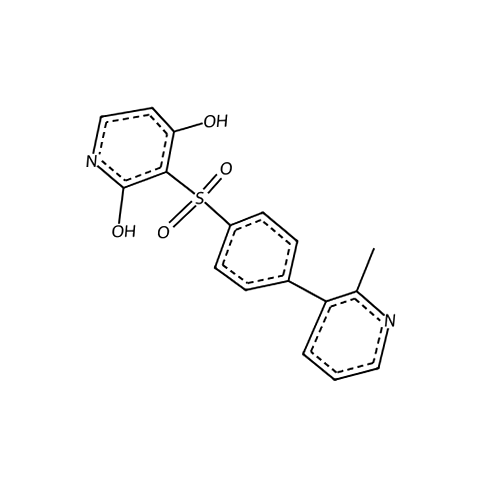 Cc1ncccc1-c1ccc(S(=O)(=O)c2c(O)ccnc2O)cc1